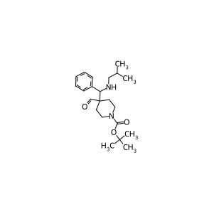 CC(C)CNC(c1ccccc1)C1(C=O)CCN(C(=O)OC(C)(C)C)CC1